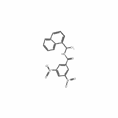 CC(NC(=O)c1cc([N+](=O)[O-])cc([N+](=O)[O-])c1)c1cccc2ccccc12